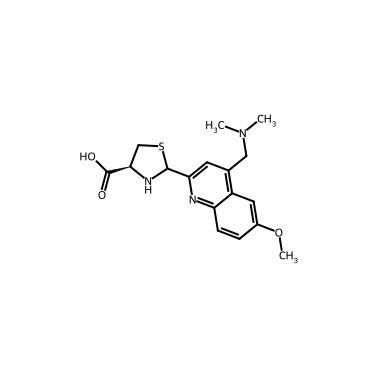 COc1ccc2nc(C3N[C@@H](C(=O)O)CS3)cc(CN(C)C)c2c1